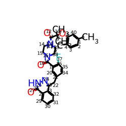 Cc1ccc(C)c(OC(C)(C)C(=O)N2CCN(C(=O)c3cc(Cc4n[nH]c(=O)c5ccccc45)ccc3F)CC2)c1